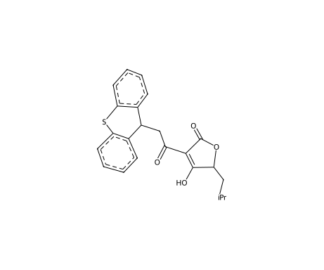 CC(C)CC1OC(=O)C(C(=O)CC2c3ccccc3Sc3ccccc32)=C1O